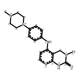 CCN1Cc2c(Nc3ccc(N4CCN(C)CC4)cc3)ccnc2NC1=O